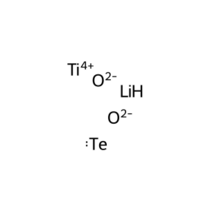 [LiH].[O-2].[O-2].[Te].[Ti+4]